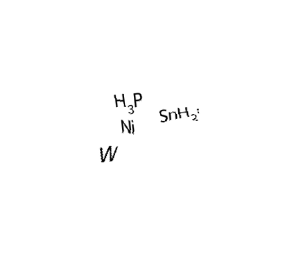 P.[Ni].[SnH2].[W]